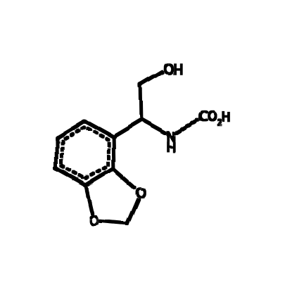 O=C(O)NC(CO)c1cccc2c1OCO2